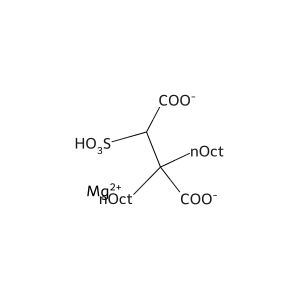 CCCCCCCCC(CCCCCCCC)(C(=O)[O-])C(C(=O)[O-])S(=O)(=O)O.[Mg+2]